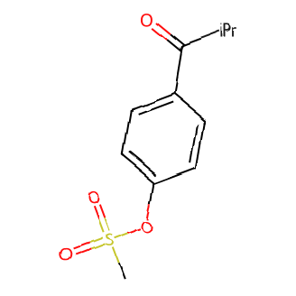 CC(C)C(=O)c1ccc(OS(C)(=O)=O)cc1